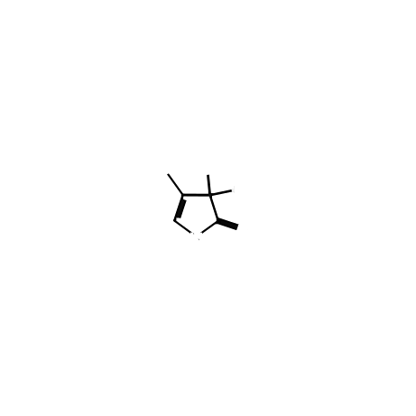 CC1=CNC(=O)C1(F)F